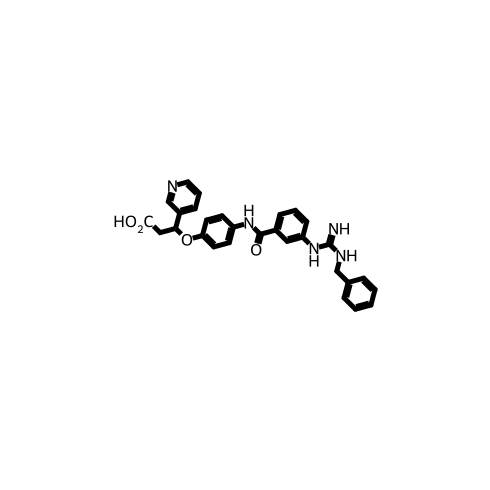 N=C(NCc1ccccc1)Nc1cccc(C(=O)Nc2ccc(OC(CC(=O)O)c3cccnc3)cc2)c1